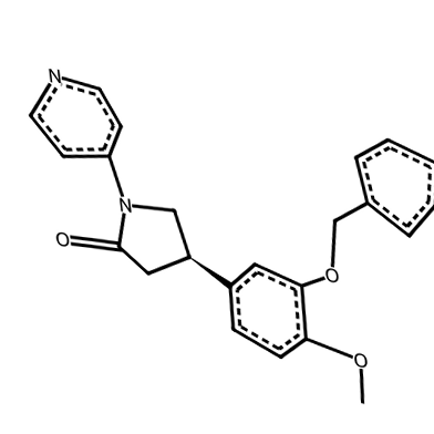 COc1ccc([C@H]2CC(=O)N(c3ccncc3)C2)cc1OCc1ccccc1